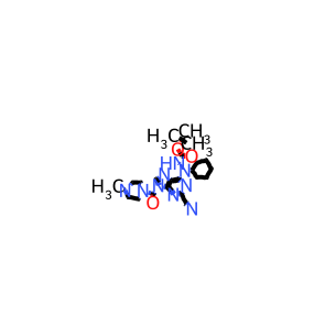 CN1CCN(C(=O)n2cnc3c(N(NC(=O)OC(C)(C)C)C4CCCCC4)nc(C#N)nc32)CC1